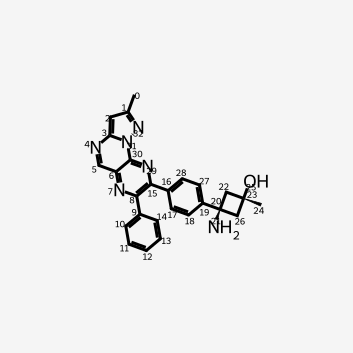 Cc1cc2ncc3nc(-c4ccccc4)c(-c4ccc([C@]5(N)C[C@](C)(O)C5)cc4)nc3n2n1